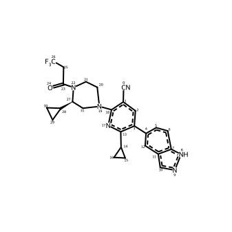 N#Cc1cc(-c2ccc3[nH]ncc3c2)c(C2CC2)nc1N1CCN(C(=O)CC(F)(F)F)[C@H](C2CC2)C1